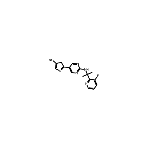 CC(C)(Nc1ncc(C2=NC=C(C#N)C2)cn1)c1ncccc1F